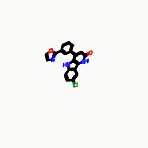 O=c1cc(-c2cccc(-c3ncco3)c2)c2[nH]c3ccc(Cl)cc3c2[nH]1